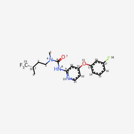 C[C@@H](CCN(C)C(=O)Nc1cc(Oc2cccc(F)c2)ccn1)C(F)(F)F